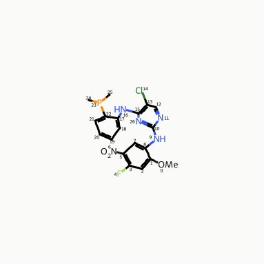 COc1cc(F)c([N+](=O)[O-])cc1Nc1ncc(Cl)c(Nc2ccccc2P(C)C)n1